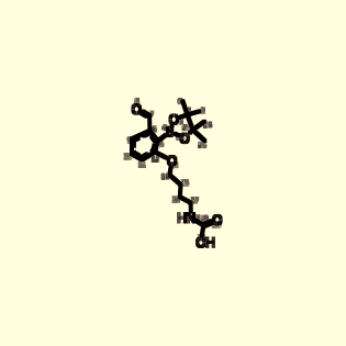 CC1(C)OB(c2c(C=O)cccc2OCCCCNC(=O)O)OC1(C)C